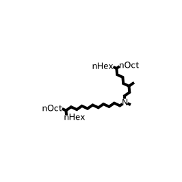 CCCCCCCCC(CCCCCC)CCCCCCCCCCN(C)CCC(C)CCCC(CCCCCC)CCCCCCCC